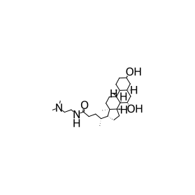 C[C@H](CCC(=O)NCCN(C)C)[C@H]1CC[C@H]2[C@@H]3[C@@H](O)C[C@@H]4C[C@H](O)CC[C@]4(C)[C@H]3CC[C@]12C